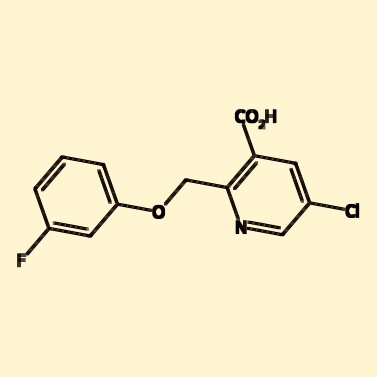 O=C(O)c1cc(Cl)cnc1COc1cccc(F)c1